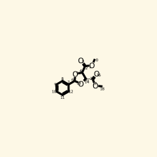 COC(=O)C1OC(c2ccccc2)O[C@H]1C(=O)OC